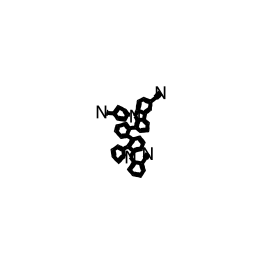 N#Cc1ccc(-n2c3ccc(C#N)cc3c3cccc(-c4ccccc4-c4cccc5c4c4ccccc4n5-c4ccccc4C#N)c32)cc1